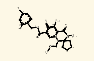 COCN1n2cc(C(=O)NCc3ccc(F)cc3F)c(=O)c(O)c2C(=O)N(C)C12CCCC2